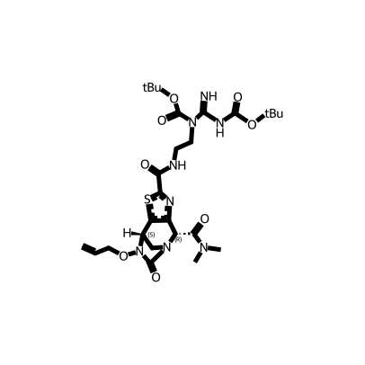 C=CCON1C(=O)N2C[C@H]1c1sc(C(=O)NCCN(C(=N)NC(=O)OC(C)(C)C)C(=O)OC(C)(C)C)nc1[C@@H]2C(=O)N(C)C